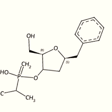 C=P(O)(OC1C[C@H](Cc2ccccc2)O[C@@H]1CO)C(C)C